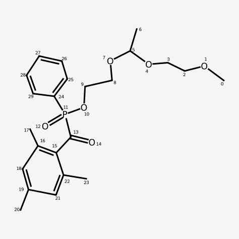 COCCOC(C)OCCOP(=O)(C(=O)c1c(C)cc(C)cc1C)c1ccccc1